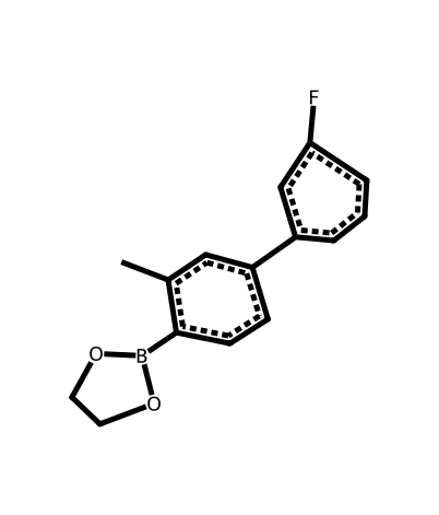 Cc1cc(-c2cccc(F)c2)ccc1B1OCCO1